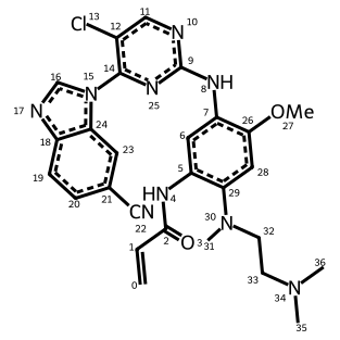 C=CC(=O)Nc1cc(Nc2ncc(Cl)c(-n3cnc4ccc(C#N)cc43)n2)c(OC)cc1N(C)CCN(C)C